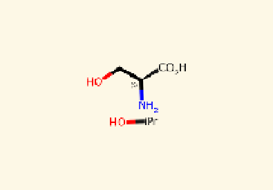 CC(C)O.N[C@@H](CO)C(=O)O